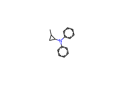 CC1CC1N(c1ccccc1)c1ccccc1